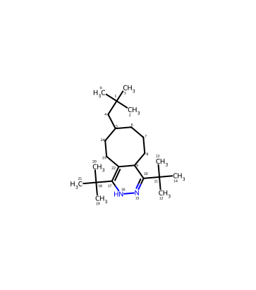 CC(C)(C)CC1CCCC2C(C(C)(C)C)=NNC(C(C)(C)C)=C2CC1